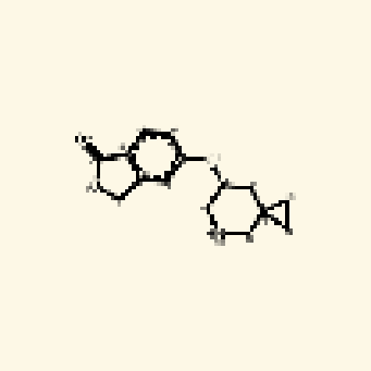 O=C1OCc2cc(O[C@@H]3CNCC4(CC4)C3)ccc21